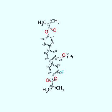 C=C(C)C(=O)Oc1ccc(-c2ccc(-c3ccc(OC(=O)C(=C)C)c(F)c3)c(COCCC)c2)cc1